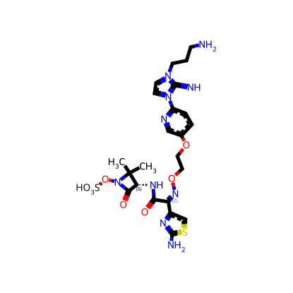 CC1(C)[C@H](NC(=O)/C(=N\OCCOc2ccc(-n3ccn(CCCN)c3=N)nc2)c2csc(N)n2)C(=O)N1OS(=O)(=O)O